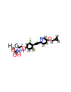 C[C@@H](COc1cc(F)c(C#Cc2ccc(OCC3CC3)cn2)c(F)c1)NC(=O)O